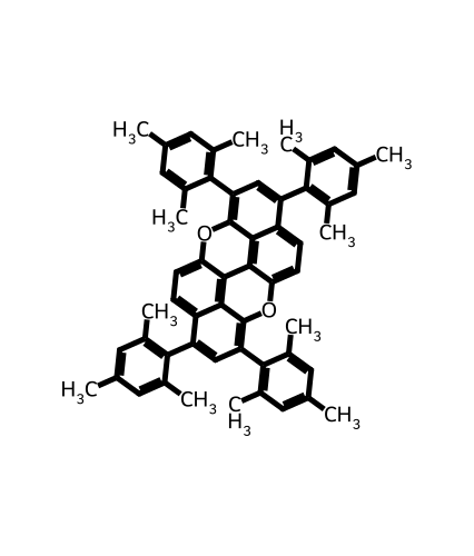 Cc1cc(C)c(-c2cc(-c3c(C)cc(C)cc3C)c3oc4ccc5c(-c6c(C)cc(C)cc6C)cc(-c6c(C)cc(C)cc6C)c6oc7ccc2c3c7-c4c56)c(C)c1